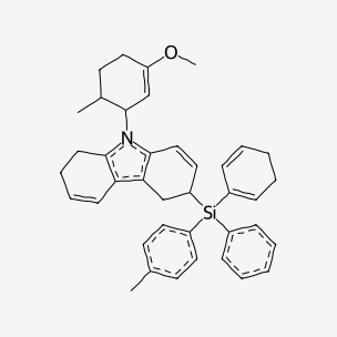 COC1=CC(n2c3c(c4c2CCC=C4)CC([Si](C2=CCCC=C2)(c2ccccc2)c2ccc(C)cc2)C=C3)C(C)CC1